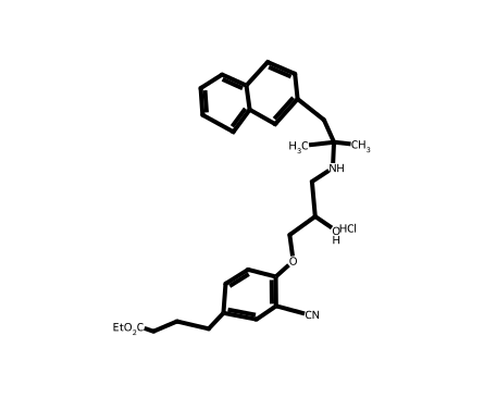 CCOC(=O)CCCc1ccc(OCC(O)CNC(C)(C)Cc2ccc3ccccc3c2)c(C#N)c1.Cl